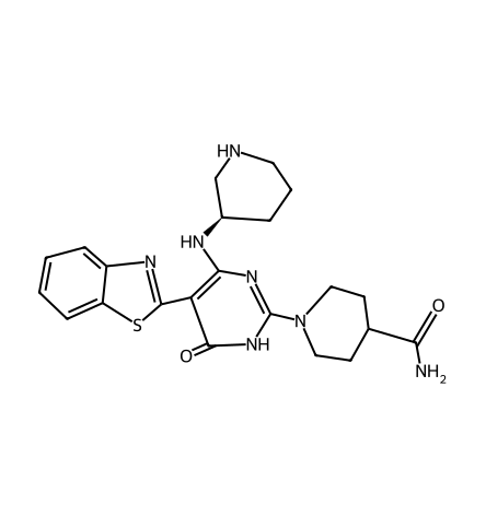 NC(=O)C1CCN(c2nc(N[C@@H]3CCCNC3)c(-c3nc4ccccc4s3)c(=O)[nH]2)CC1